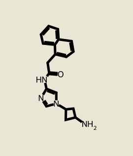 NC1CC(n2cnc(NC(=O)Cc3cccc4ccccc34)c2)C1